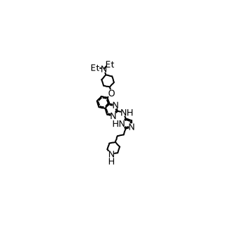 CCN(CC)C1CCC(Oc2cccc3cnc(Nc4cnc(CCC5CCNCC5)[nH]4)nc23)CC1